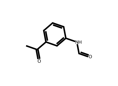 CC(=O)c1cccc(NC=O)c1